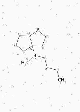 CCCCB(C)C12CCCC1CCC2